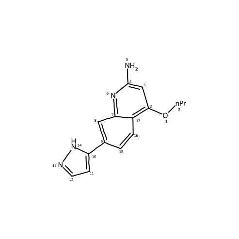 CCCOc1cc(N)nc2cc(-c3ccn[nH]3)ccc12